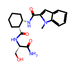 Cn1c(C(=O)N[C@H]2CCCC[C@H]2C(=O)N[C@@H](CO)C(N)=O)cc2ccccc21